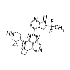 CC(F)(F)c1cc2c(-c3nc(NC4CCNCC45CC5)c4c(C5CCC5)cncc4n3)ccnc2[nH]1